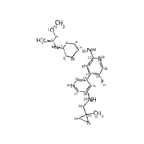 COC[C@H](C)N[C@H]1CC[C@H](Nc2cc(-c3cncc(NCC4(C)CC4)c3)c(F)cn2)CC1